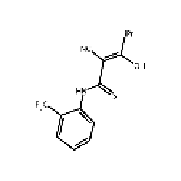 CC(C)/C(O)=C(\C#N)C(=S)Nc1ccccc1C(F)(F)F